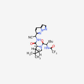 CC(C)(C)C(NC(=O)C(F)(F)F)C(=O)N1C[C@H]2[C@@H]([C@H]1C(=O)NC(C#N)c1ccc3ccnn3n1)C2(C)C